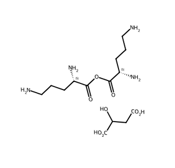 NCCC[C@H](N)C(=O)OC(=O)[C@@H](N)CCCN.O=C(O)CC(O)C(=O)O